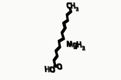 CCCCC=CCCCCCCCC(=O)O.[MgH2]